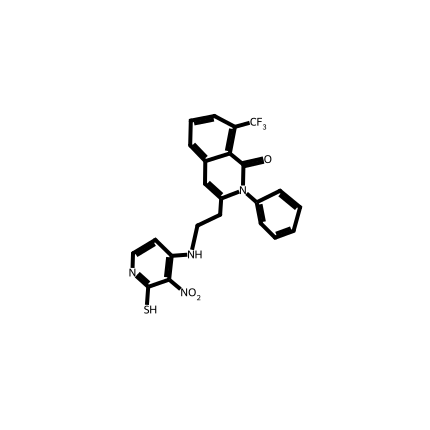 O=c1c2c(C(F)(F)F)cccc2cc(CCNc2ccnc(S)c2[N+](=O)[O-])n1-c1ccccc1